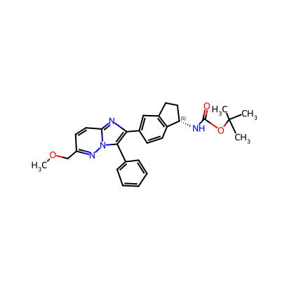 COCc1ccc2nc(-c3ccc4c(c3)CC[C@@H]4NC(=O)OC(C)(C)C)c(-c3ccccc3)n2n1